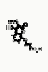 COc1c(O)c2cccc(OCCC(=O)O)c2oc1=O